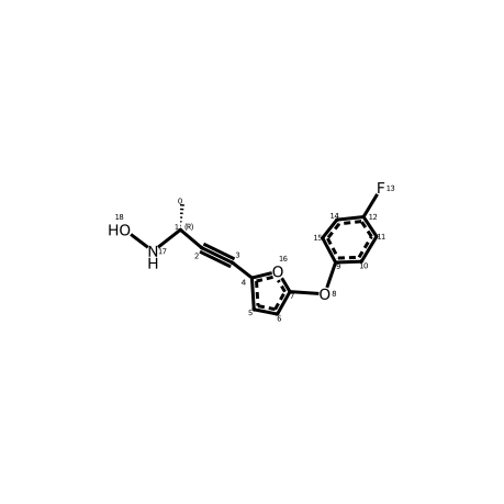 C[C@H](C#Cc1ccc(Oc2ccc(F)cc2)o1)NO